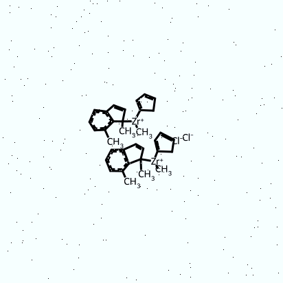 Cc1cccc2c1[C](C)([Zr+]([CH3])[C]1=CC=CC1)C=C2.Cc1cccc2c1[C](C)([Zr+]([CH3])[C]1=CC=CC1)C=C2.[Cl-].[Cl-]